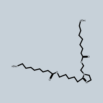 CCCCCCCCCCCCCCCCCC(=O)OCCCCCC1=NCCN1CCOC(=O)CCCCCCCCCCCCCCCCC